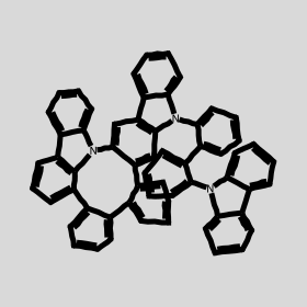 c1ccc(-n2c3ccccc3c3ccccc32)c(-c2ccccc2-n2c3ccccc3c3cc4c(cc32)c2ccccc2c2ccccc2c2cccc3c5ccccc5n4c23)c1